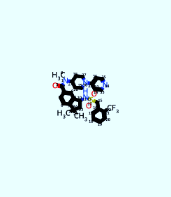 CN(C(=O)c1ccc2c(c1)C(NS(=O)(=O)Cc1ccccc1C(F)(F)F)CC2(C)C)C1CCN(c2ccncc2)CC1